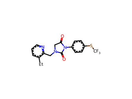 CCc1cccnc1CN1CC(=O)N(c2ccc(SC(F)(F)F)cc2)C1=O